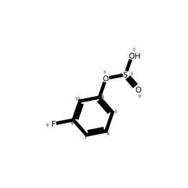 O=S(O)Oc1cccc(F)c1